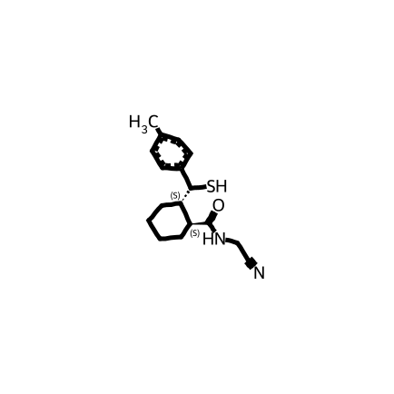 Cc1ccc(C(S)[C@H]2CCCC[C@@H]2C(=O)NCC#N)cc1